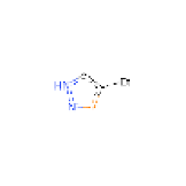 CCc1c[nH]np1